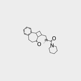 C[C@H](CC1CC2c3ccccc3CCC(=O)C12)C(=O)N1CCCCC1